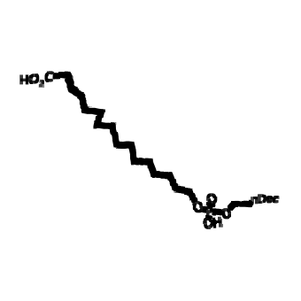 CCCCCCCCCCCCOP(=O)(O)OCCCCCCCCCCCCCCCC(=O)O